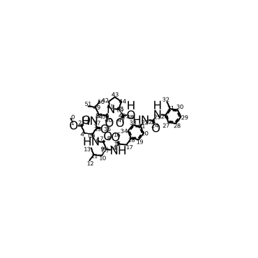 COC(=O)C[C@H](NC(=O)[C@H](CC(C)C)NC(=O)Cc1ccc(NC(=O)Nc2ccccc2C)cc1)C(=O)N[C@H](C(=O)N1CCC[C@H]1C(=O)O)C(C)C